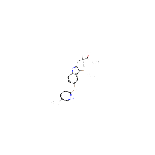 CCC(CC)(Cc1[nH]c2ccc(Sc3ccc(C)cn3)cc2c1SC(C)(C)C)C(=O)OC